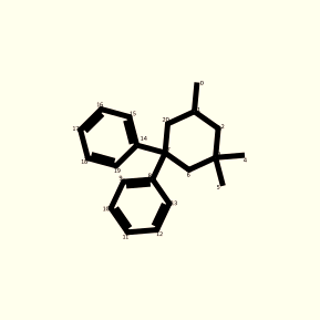 CC1CC(C)(C)CC(c2ccccc2)(c2ccccc2)C1